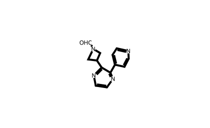 O=CN1CC(c2nccnc2-c2ccncc2)C1